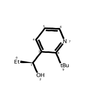 CC[C@H](O)c1cccnc1C(C)(C)C